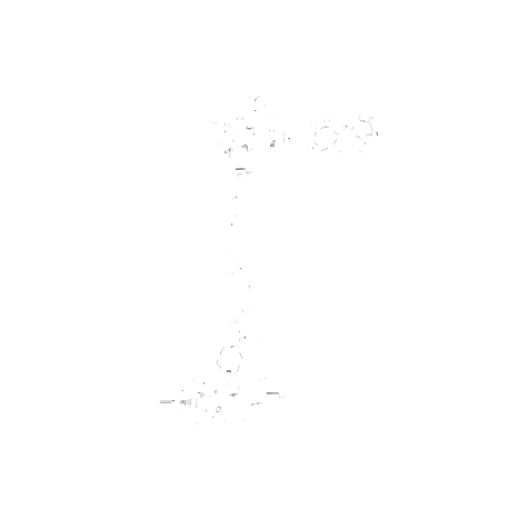 CC#C[C@]12CC[C@H]3[C@@H]4CCC5=CC(=O)CCC5=C4[C@@H](c4ccc(N(C)CCOCCOCCOCCOCC(=O)N[C@H](C(=O)N5C[C@H](O)C[C@H]5C(=O)NCc5ccc(-c6scnc6C)cc5)C(C)(C)C)cc4)C[C@@]31CO2